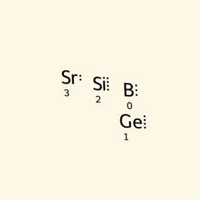 [B].[Ge].[Si].[Sr]